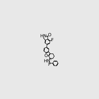 C[C@@H](N[C@@H]1CCCc2c1oc1ccc(-c3cc(F)c4c(c3)CNC4=O)cc21)c1ccccc1